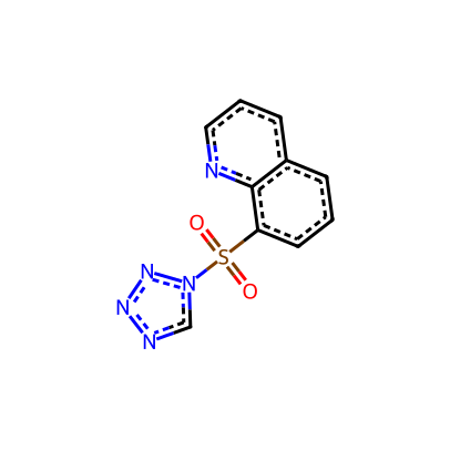 O=S(=O)(c1cccc2cccnc12)n1cnnn1